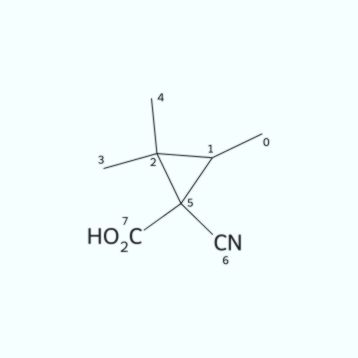 CC1C(C)(C)C1(C#N)C(=O)O